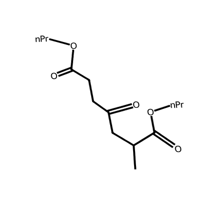 CCCOC(=O)CCC(=O)CC(C)C(=O)OCCC